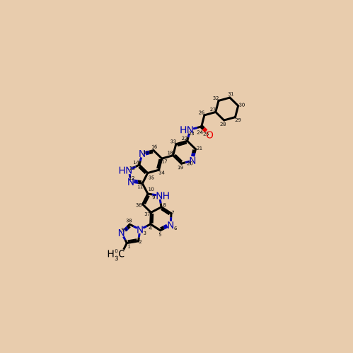 Cc1cn(-c2cncc3[nH]c(-c4n[nH]c5ncc(-c6cncc(NC(=O)CC7CCCCC7)c6)cc45)cc23)cn1